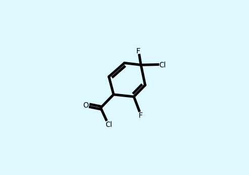 O=C(Cl)C1C=CC(F)(Cl)C=C1F